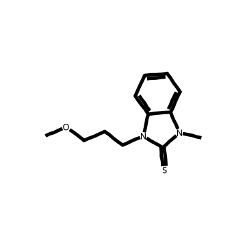 COCCCn1c(=S)n(C)c2ccccc21